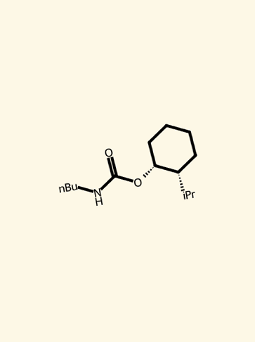 CCCCNC(=O)O[C@@H]1CCCC[C@@H]1C(C)C